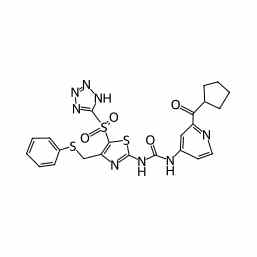 O=C(Nc1ccnc(C(=O)C2CCCC2)c1)Nc1nc(CSc2ccccc2)c(S(=O)(=O)c2nnn[nH]2)s1